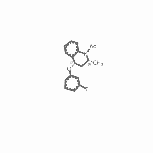 CC(=O)N1c2ccccc2[C@@H](Oc2cccc(F)c2)C[C@H]1C